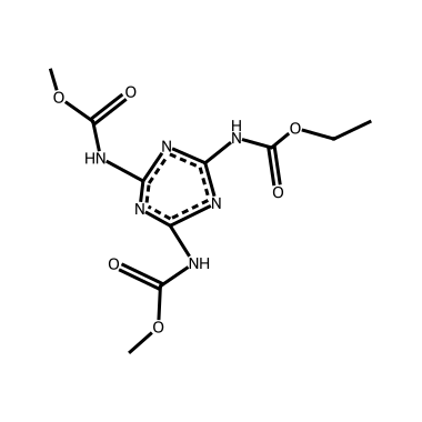 CCOC(=O)Nc1nc(NC(=O)OC)nc(NC(=O)OC)n1